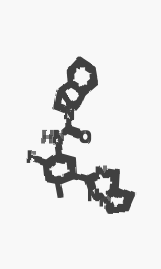 Cc1cc(F)c(NC(=O)N2CC3CC2c2ccccc23)cc1-c1ncc2cccn2n1